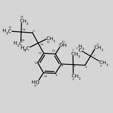 CC(C)(C)CC(C)(C)c1cc(O)cc(C(C)(C)CC(C)(C)C)c1O